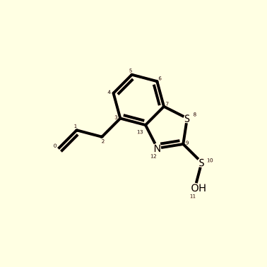 C=CCc1cccc2sc(SO)nc12